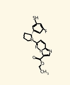 CCOC(=O)c1cnc2ccc(N3CCC[C@@H]3c3cc(F)cc(S)c3)nn12